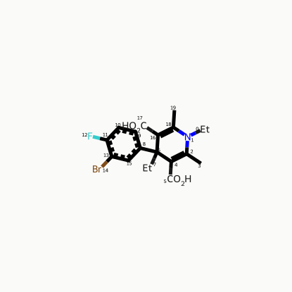 CCN1C(C)=C(C(=O)O)C(CC)(c2ccc(F)c(Br)c2)C(C(=O)O)=C1C